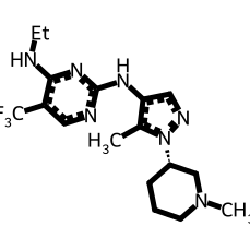 CCNc1nc(Nc2cnn([C@H]3CCCN(C)C3)c2C)ncc1C(F)(F)F